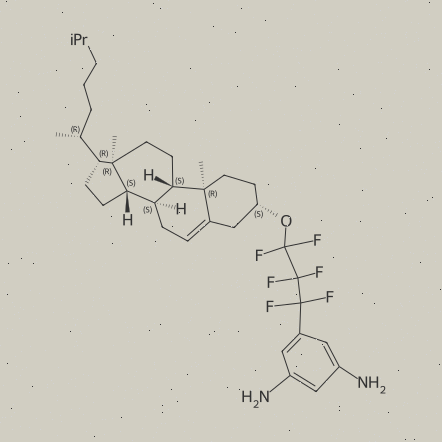 CC(C)CCC[C@@H](C)[C@H]1CC[C@H]2[C@@H]3CC=C4C[C@@H](OC(F)(F)C(F)(F)C(F)(F)c5cc(N)cc(N)c5)CC[C@]4(C)[C@H]3CC[C@]12C